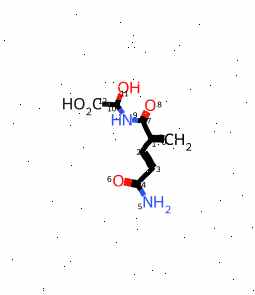 C=C(C=CC(N)=O)C(=O)NC(O)C(=O)O